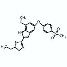 CCc1cc(Oc2ccc(S(C)(=O)=O)nc2)cc2cc(C3=NCC(CC)S3)[nH]c12